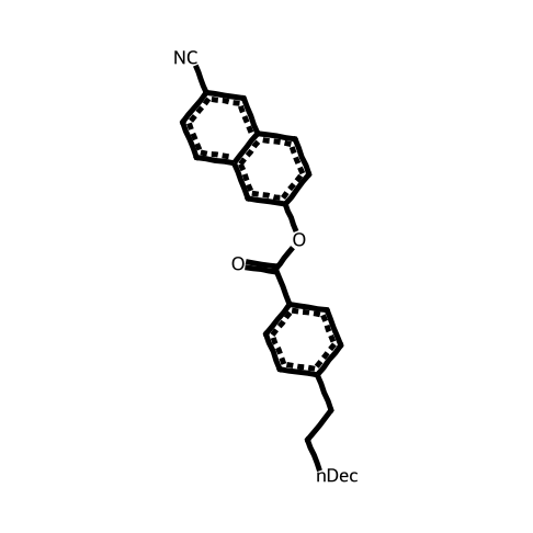 CCCCCCCCCCCCc1ccc(C(=O)Oc2ccc3cc(C#N)ccc3c2)cc1